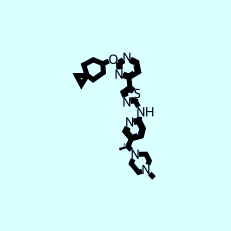 C[C@@H](c1ccc(Nc2ncc(-c3ccnc(OC4CCC5(CC4)CC5)n3)s2)nc1)N1CCN(C)CC1